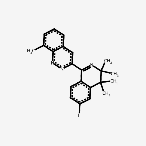 Cc1cccc2cc(C3=NC(C)(C)C(C)(C)c4cc(F)ccc43)nnc12